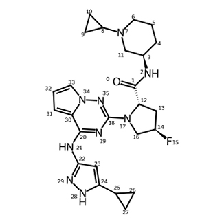 O=C(N[C@@H]1CCCN(C2CC2)C1)[C@@H]1C[C@@H](F)CN1c1nc(Nc2cc(C3CC3)[nH]n2)c2cccn2n1